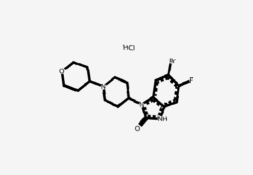 Cl.O=c1[nH]c2cc(F)c(Br)cc2n1C1CCN(C2CCOCC2)CC1